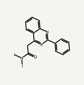 O=C(Cc1nc(-c2ccccc2)nc2ccccc12)N(I)I